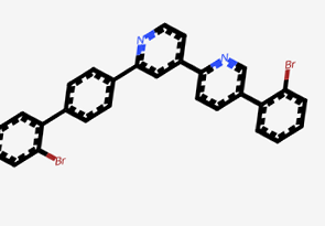 Brc1ccccc1-c1ccc(-c2cc(-c3ccc(-c4ccccc4Br)cn3)ccn2)cc1